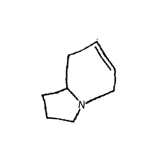 [C]1=CCN2CCCC2C1